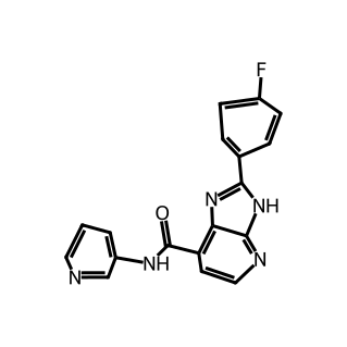 O=C(Nc1cccnc1)c1ccnc2[nH]c(-c3ccc(F)cc3)nc12